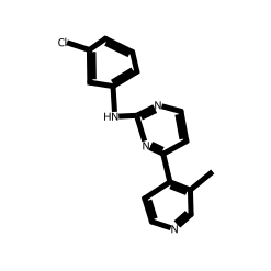 Cc1cnccc1-c1ccnc(Nc2cccc(Cl)c2)n1